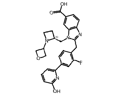 O=C(O)c1ccc2nc(Cc3ccc(-c4cccc(O)n4)cc3F)n(C[C@@H]3CCN3C3COC3)c2c1